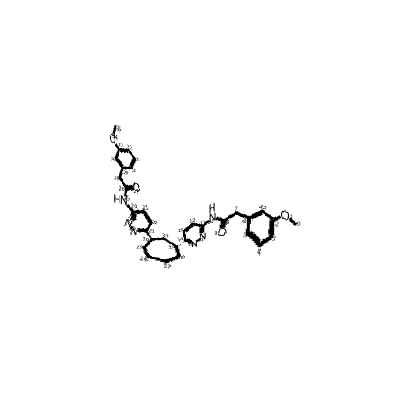 COc1cccc(CC(=O)Nc2ccc([C@@H]3CCCC[C@@H](c4ccc(NC(=O)Cc5cccc(OC)c5)nn4)C3)nn2)c1